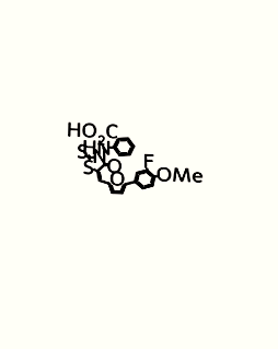 COc1ccc(-c2ccc(C=C3SC(=S)N(Nc4ccccc4C(=O)O)C3=O)o2)cc1F